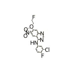 O=[N+]([O-])c1cc2c(Nc3ccc(F)c(Cl)c3)ncnc2cc1OCCF